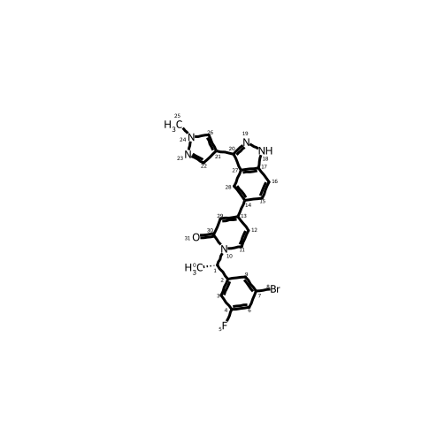 C[C@@H](c1cc(F)cc(Br)c1)n1ccc(-c2ccc3[nH]nc(-c4cnn(C)c4)c3c2)cc1=O